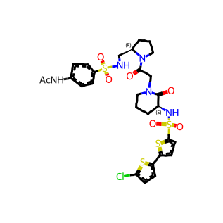 CC(=O)Nc1ccc(S(=O)(=O)NC[C@H]2CCCN2C(=O)CN2CCC[C@H](NS(=O)(=O)c3ccc(-c4ccc(Cl)s4)s3)C2=O)cc1